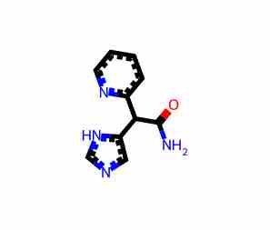 NC(=O)C(c1ccccn1)c1cnc[nH]1